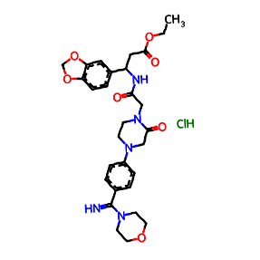 CCOC(=O)CC(NC(=O)CN1CCN(c2ccc(C(=N)N3CCOCC3)cc2)CC1=O)c1ccc2c(c1)OCO2.Cl